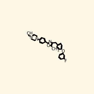 CCN1CCN(c2ccc(-c3nc(Cc4ccc(Oc5cccc(F)c5)cc4)c(C)o3)cc2)CC1